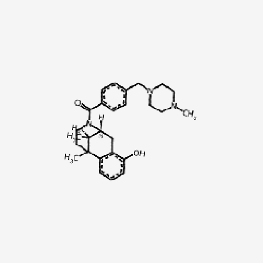 CN1CCN(Cc2ccc(C(=O)N3CCC4(C)c5cccc(O)c5C[C@@H]3C4(C)C)cc2)CC1